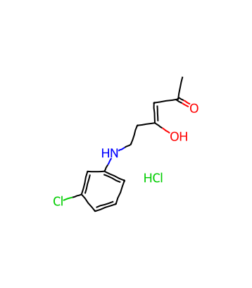 CC(=O)C=C(O)CCNc1cccc(Cl)c1.Cl